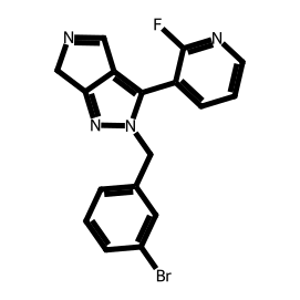 Fc1ncccc1-c1c2c(nn1Cc1cccc(Br)c1)CN=C2